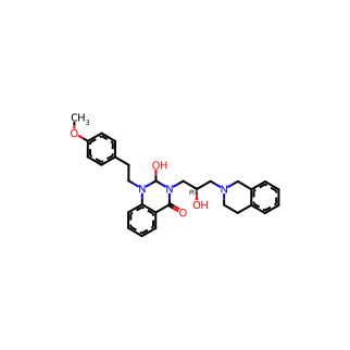 COc1ccc(CCN2c3ccccc3C(=O)N(C[C@H](O)CN3CCc4ccccc4C3)C2O)cc1